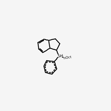 CCCCCCCC[SiH](c1ccccc1)C1CCC2C=CC=CC21